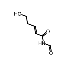 O=CNC(=O)C=CCCO